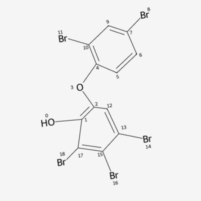 Oc1c(Oc2ccc(Br)cc2Br)cc(Br)c(Br)c1Br